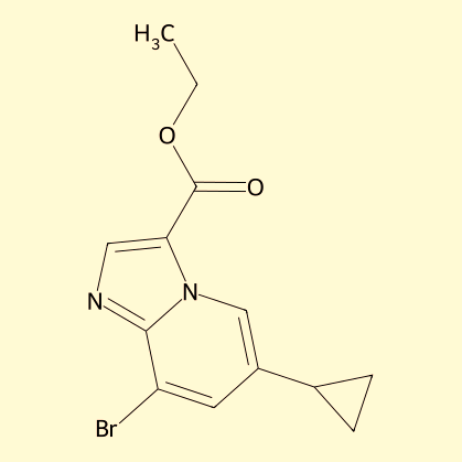 CCOC(=O)c1cnc2c(Br)cc(C3CC3)cn12